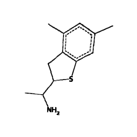 Cc1cc(C)c2c(c1)SC(C(C)N)C2